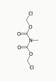 CN(C(=O)OCCl)C(=O)OCCl